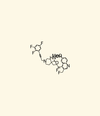 COc1ccc2ncc(CF)c([C@H](F)CCC3(C(=O)NO)CCN(CC#Cc4cc(F)cc(F)c4F)CC3)c2c1